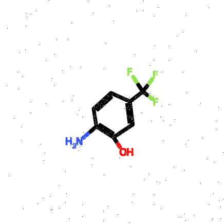 Nc1ccc(C(F)(F)F)cc1O